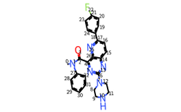 CN(C(=O)c1nc(N2CCNCC2)nc2ccc(-c3ccc(F)cc3)nc12)c1ccccc1